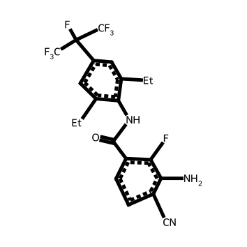 CCc1cc(C(F)(C(F)(F)F)C(F)(F)F)cc(CC)c1NC(=O)c1ccc(C#N)c(N)c1F